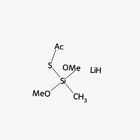 CO[Si](C)(OC)SC(C)=O.[LiH]